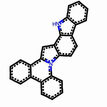 c1ccc2c(c1)[nH]c1c2ccc2c1cc1c3ccccc3c3ccccc3n12